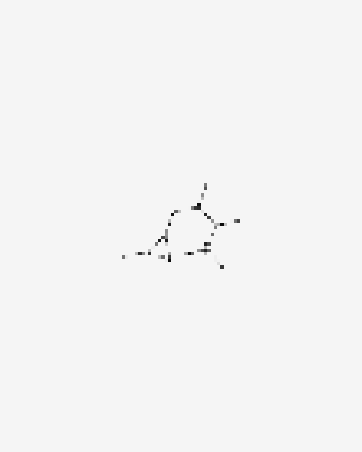 CC1CC1CC(C)C(C)P(C)C